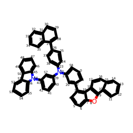 c1cc(-c2cccc3oc4c5ccccc5ccc4c23)cc(N(c2ccc(-c3cccc4ccccc34)cc2)c2cccc(-n3c4ccccc4c4ccccc43)c2)c1